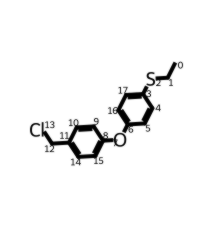 CCSc1ccc(Oc2ccc(CCl)cc2)cc1